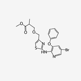 COC(=O)C(C)COCc1csc(Nc2ncc(Br)cc2Oc2ccccc2)n1